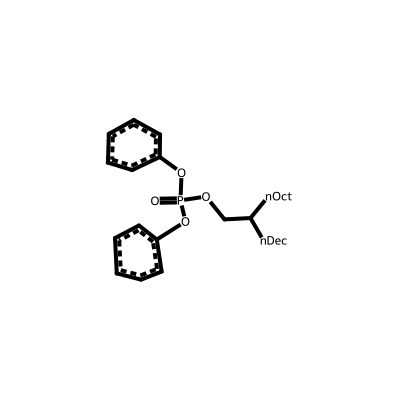 CCCCCCCCCCC(CCCCCCCC)COP(=O)(Oc1ccccc1)Oc1ccccc1